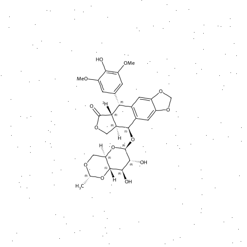 [2H][C@]12C(=O)OC[C@@H]1[C@H](O[C@@H]1O[C@@H]3CO[C@@H](C)O[C@H]3[C@H](O)[C@H]1O)c1cc3c(cc1[C@H]2c1cc(OC)c(O)c(OC)c1)OCO3